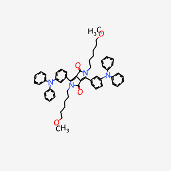 COCCCCCCN1C(=O)C2=C(c3cccc(N(c4ccccc4)c4ccccc4)c3)N(CCCCCCOC)C(=O)C2=C1c1cccc(N(c2ccccc2)c2ccccc2)c1